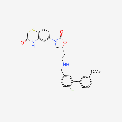 COc1cccc(-c2cc(CNCC[C@@H]3CN(c4ccc5c(c4)NC(=O)CS5)C(=O)O3)ccc2F)c1